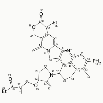 C=C1C2=C(C=C3c4nc5cc(P)c(C)c6c5c(c4CN13)C(N1CCC(OCNC(=O)CC)C1=C)CC6)C(CC)C(=O)OC2